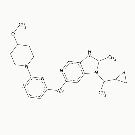 COC1CCN(c2nccc(Nc3cc4c(cn3)NC(C)N4C(C)C3CC3)n2)CC1